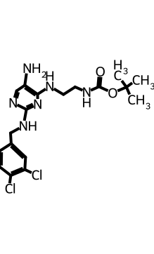 CC(C)(C)OC(=O)NCCNc1nc(NCc2ccc(Cl)c(Cl)c2)ncc1N